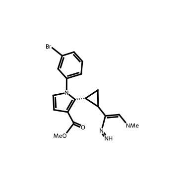 CN/C=C(\N=N)C1C[C@H]1c1c(C(=O)OC)ccn1-c1cccc(Br)c1